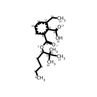 CCCCC(OC(=O)c1cccc(CC)c1C(=O)O)C(C)(C)C